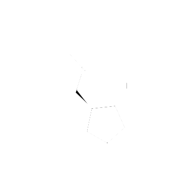 CSC[C@@H]1CCC[C@H]1I